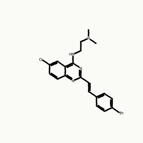 CC(C)c1ccc(C=Cc2nc(NCCN(C)C)c3cc(Cl)ccc3n2)cc1